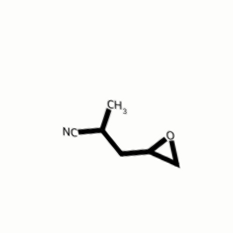 CC(C#N)CC1CO1